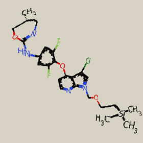 C[C@@H]1CN=C(Nc2cc(F)c(Oc3ccnc4c3c(Cl)cn4COCC[Si](C)(C)C)c(F)c2)OC1